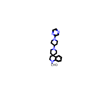 O=CN1CCC2(CCN(C3CCN(c4cnccn4)CC3)CC2)c2ccccc21